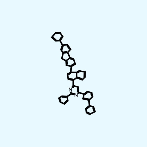 c1ccc(-c2cccc(-c3cc(-c4ccc(-c5ccc6c(c5)Cc5cc(-c7ccccc7)ccc5-6)c5ccccc45)nc(-c4ccccc4)n3)c2)cc1